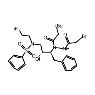 CC(C)CCN(C[C@@H](O)[C@H](Cc1ccccc1)N(NC(=O)CBr)C(=O)CC(C)(C)C)S(=O)(=O)c1ccccc1